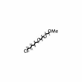 COCCOCCOCCCCCCCl